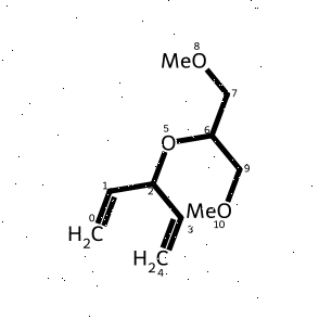 C=CC(C=C)OC(COC)COC